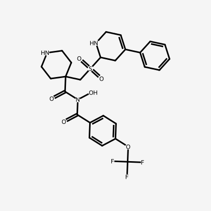 O=C(c1ccc(OC(F)(F)F)cc1)N(O)C(=O)C1(CS(=O)(=O)C2CC(c3ccccc3)=CCN2)CCNCC1